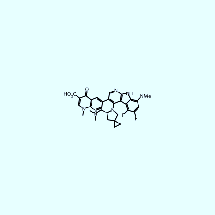 CNc1cc(F)c(F)c2c1[nH]c1ncc(-c3cnc4c(c3)c(=O)c(C(=O)O)cn4C)c(N3CC4(CC4)C[C@H]3CN(C)C)c12